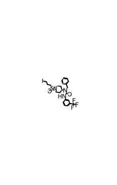 O=C(Nc1cccc(C(F)(F)F)c1)N(Cc1ccccc1)C1CCN([S+]([O-])CCCI)CC1